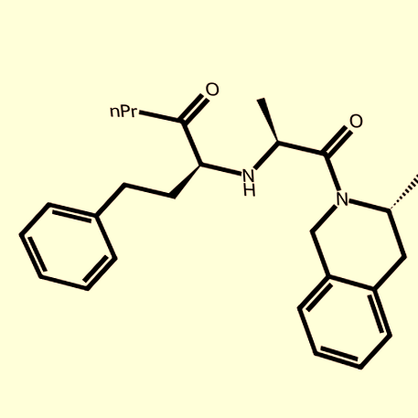 CCCC(=O)[C@H](CCc1ccccc1)N[C@@H](C)C(=O)N1Cc2ccccc2C[C@H]1C